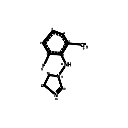 Fc1cccc(C(F)(F)F)c1NN1C=NCC1